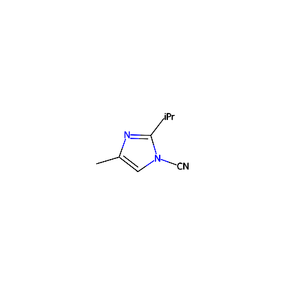 Cc1cn(C#N)c(C(C)C)n1